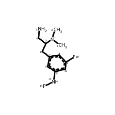 CN(C)C(CN)Cc1cc(F)cc(NF)c1